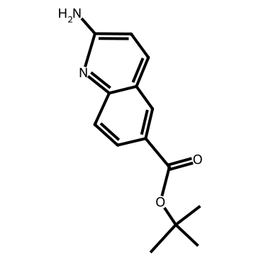 CC(C)(C)OC(=O)c1ccc2nc(N)ccc2c1